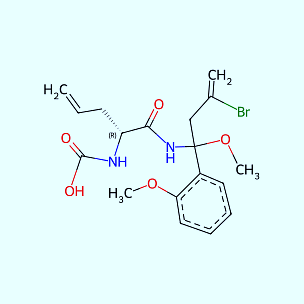 C=CC[C@@H](NC(=O)O)C(=O)NC(CC(=C)Br)(OC)c1ccccc1OC